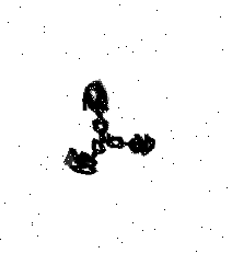 C1=C(c2cnc3ccccc3c2)CCC(N(c2ccc(-c3cc4ccccn4c3)cc2)c2ccc(-c3cc4ccccn4c3)cc2)=C1